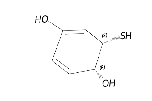 OC1=C[C@H](S)[C@H](O)C=C1